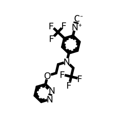 [C-]#[N+]c1ccc(N(CCOc2cccnn2)CC(F)(F)F)cc1C(F)(F)F